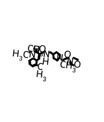 CC1=CC=CC2C1C=C(C(=O)NCC1CCN(C(C)C(=O)N3CCOCC3)CC1)C(=O)N2C(C)C